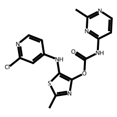 Cc1nccc(NC(=O)Oc2nc(C)sc2Nc2ccnc(Cl)c2)n1